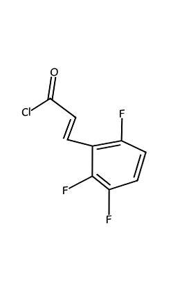 O=C(Cl)/C=C/c1c(F)ccc(F)c1F